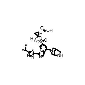 CC1(NS(=O)(=O)c2cc(N3CC4CNC(C4)C3)c3cnc(-c4nnc(C(F)F)s4)n3c2)CC1.O=CO